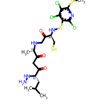 CSc1nc(Cl)c(SN[C@@H](CS)C(=O)CN[C@@H](C)C(=O)CC(=O)[C@H](CC(C)C)NN)c(Cl)c1Cl